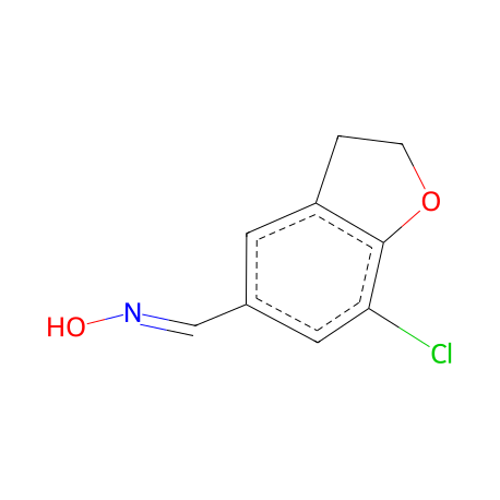 ON=Cc1cc(Cl)c2c(c1)CCO2